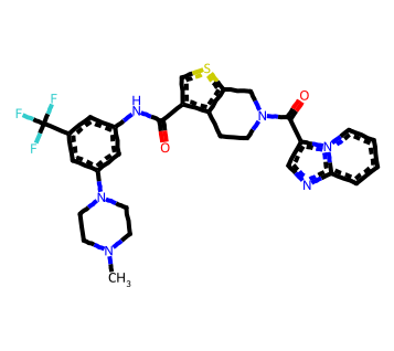 CN1CCN(c2cc(NC(=O)c3csc4c3CCN(C(=O)c3cnc5ccccn35)C4)cc(C(F)(F)F)c2)CC1